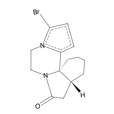 O=C1C[C@H]2CCCC[C@]23c2ccc(Br)n2CCN13